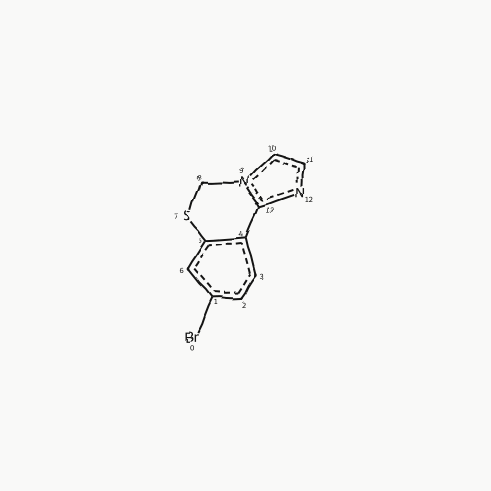 Brc1ccc2c(c1)SCn1ccnc1-2